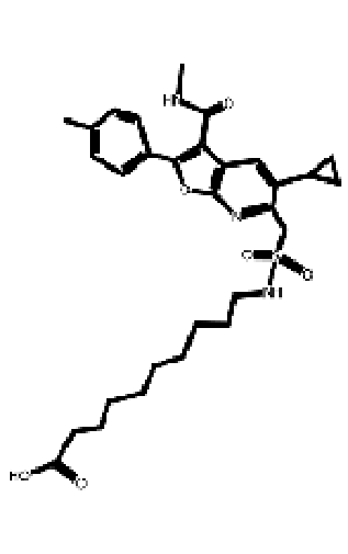 CNC(=O)c1c(-c2ccc(C)cc2)oc2nc(CS(=O)(=O)NCCCCCCCCCC(=O)O)c(C3CC3)cc12